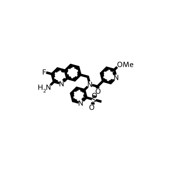 COc1ccc(C(=O)N(Cc2ccc3cc(F)c(N)nc3c2)c2cccnc2S(C)(=O)=O)cn1